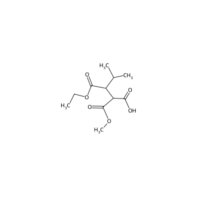 CCOC(=O)C(C(C)C)C(C(=O)O)C(=O)OC